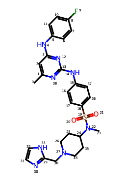 Cc1cc(Nc2ccc(F)cc2)nc(Nc2ccc(S(=O)(=O)N(C)C3CCN(Cc4ncc[nH]4)CC3)cc2)n1